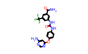 NC(=O)c1cc(NC(=O)Nc2ccc(Oc3cc(N)ncn3)cc2)cc(C(F)(F)F)c1